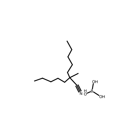 CCCCCC(C)(C#N)CCCCC.OB(O)O